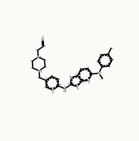 Cc1ccc(N(C)c2ccc3nc(Nc4ccc(CN5CCN(CC=O)CC5)cn4)sc3n2)cc1